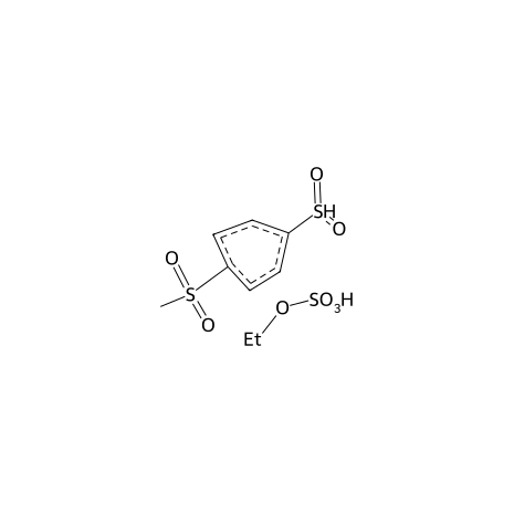 CCOS(=O)(=O)O.CS(=O)(=O)c1ccc([SH](=O)=O)cc1